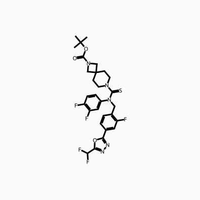 CC(C)(C)OC(=O)N1CC2(CCN(C(=S)N(Cc3ccc(-c4nnc(C(F)F)o4)cc3F)c3ccc(F)c(F)c3)CC2)C1